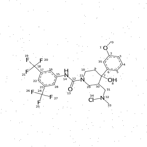 COc1cccc(C2(O)CCN(C(=O)Nc3cc(C(F)(F)F)cc(C(F)(F)F)c3)CC2CN(C)Cl)c1